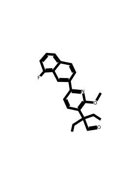 CCC(C=O)(CC)c1ccc(-c2ccc3cccc(F)c3c2)nc1OC